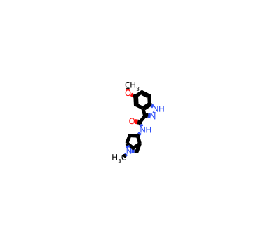 COc1ccc2[nH]nc(C(=O)NC3CC4CC3CN4C)c2c1